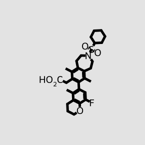 Cc1c(-c2c(C)c3c(c(C)c2CC(=O)O)CCN(S(=O)(=O)C2CCCCC2)CC3)cc(F)c2c1CCCO2